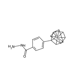 NNC(=O)c1ccc([C]23[CH]4[CH]5[CH]6[CH]2[Fe]56432789[CH]3[CH]2[CH]7[CH]8[CH]39)cc1